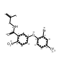 C=C(C)CNC(=O)c1cc(Oc2ccc(C(F)(F)F)cc2Br)ccc1[N+](=O)[O-]